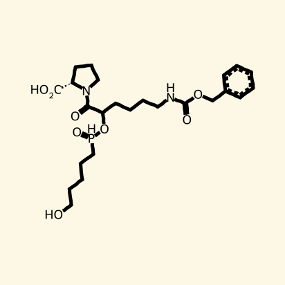 O=C(NCCCCC(O[PH](=O)CCCCCO)C(=O)N1CCC[C@H]1C(=O)O)OCc1ccccc1